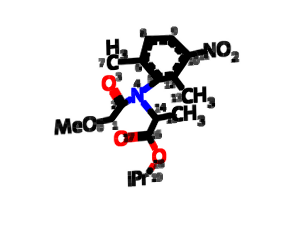 COCC(=O)N(c1c(C)ccc([N+](=O)[O-])c1C)C(C)C(=O)OC(C)C